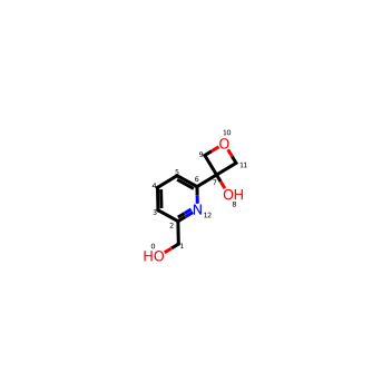 OCc1cccc(C2(O)COC2)n1